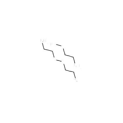 NCCSS.NCCSSCCN